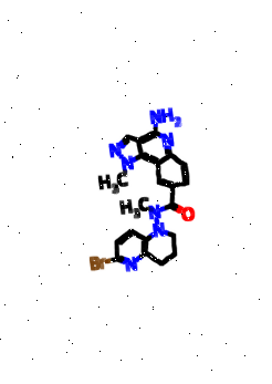 CN(C(=O)c1ccc2nc(N)c3cnn(C)c3c2c1)N1CCCc2nc(Br)ccc21